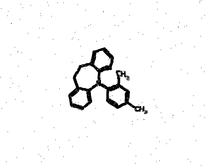 Cc1ccc(N2c3ccccc3CCc3ccccc32)c(C)c1